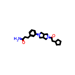 NC(=O)CCc1cccc(N2CC3CN(C(=O)CC4CCCC4)CC3C2)c1